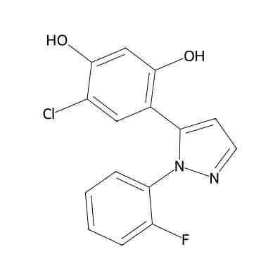 Oc1cc(O)c(-c2ccnn2-c2ccccc2F)cc1Cl